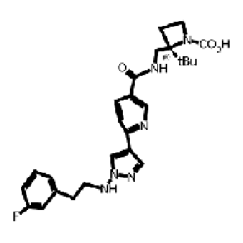 CC(C)(C)[C@@]1(CNC(=O)c2ccc(-c3cnn(NCCc4cccc(F)c4)c3)nc2)CCN1C(=O)O